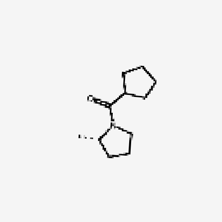 C[C@H]1CCCN1C(=O)C1CCCC1